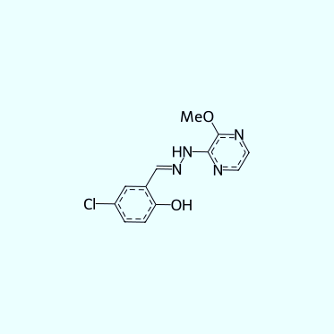 COc1nccnc1N/N=C/c1cc(Cl)ccc1O